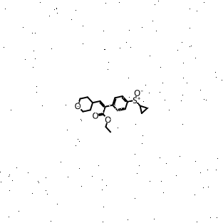 CCOC(=O)C(=CC1CCOCC1)c1ccc([S+]([O-])C2CC2)cc1